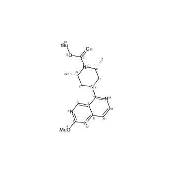 COc1ncc2c(N3C[C@@H](C)N(C(=O)OC(C)(C)C)[C@@H](C)C3)nccc2n1